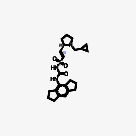 O=C(Nc1c2c(cc3c1CCC3)CCC2)NS(=O)(=O)/C=C/[C@H]1CCCN1CC1CC1